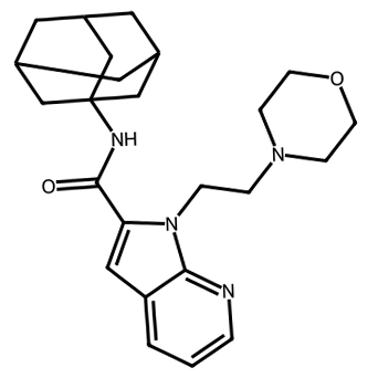 O=C(NC12CC3CC(CC(C3)C1)C2)c1cc2cccnc2n1CCN1CCOCC1